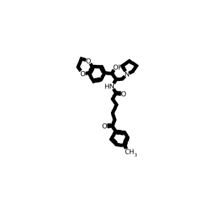 Cc1ccc(C(=O)CCCCC(=O)NC(CN2CCCC2)C(O)c2ccc3c(c2)OCCO3)cc1